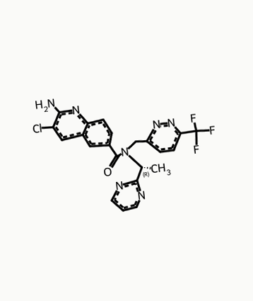 C[C@H](c1ncccn1)N(Cc1ccc(C(F)(F)F)nn1)C(=O)c1ccc2nc(N)c(Cl)cc2c1